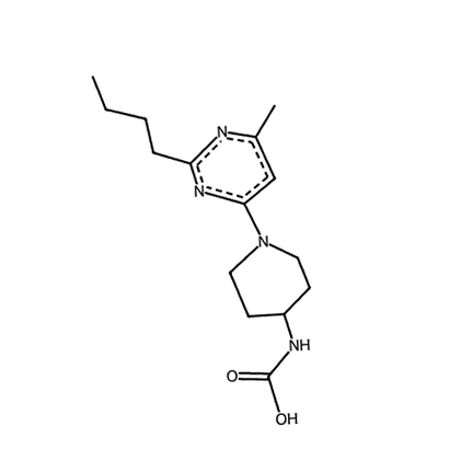 CCCCc1nc(C)cc(N2CCC(NC(=O)O)CC2)n1